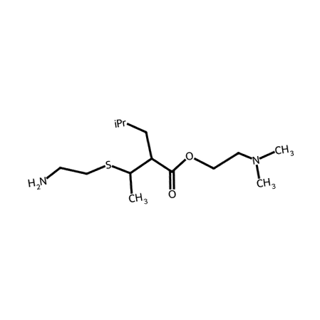 CC(C)CC(C(=O)OCCN(C)C)C(C)SCCN